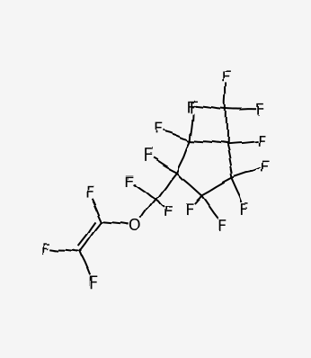 FC(F)=C(F)OC(F)(F)C1(F)C(F)(F)C(F)(F)C(F)(C(F)(F)F)C1(F)F